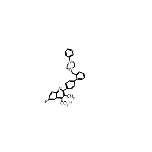 Cc1c(-c2ccc(-c3ccccc3CN3CCN(c4ccccc4)CC3)cc2)nc2ccc(F)cc2c1C(=O)O